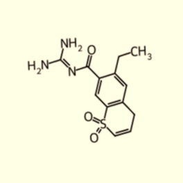 CCc1cc2c(cc1C(=O)N=C(N)N)S(=O)(=O)C=CC2